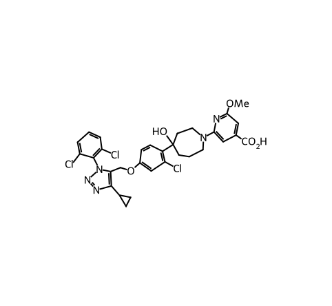 COc1cc(C(=O)O)cc(N2CCCC(O)(c3ccc(OCc4c(C5CC5)nnn4-c4c(Cl)cccc4Cl)cc3Cl)CC2)n1